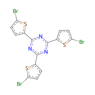 Brc1ccc(-c2nc(-c3ccc(Br)s3)nc(-c3ccc(Br)s3)n2)s1